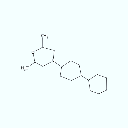 CC1CN(C2CCC(C3CCCCC3)CC2)CC(C)O1